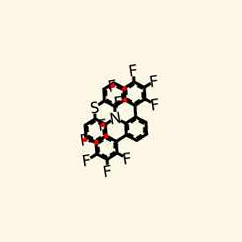 Fc1c(F)c(F)c(-c2cccc(-c3c(F)c(F)c(F)c(F)c3F)c2N2c3ccccc3Sc3ccccc32)c(F)c1F